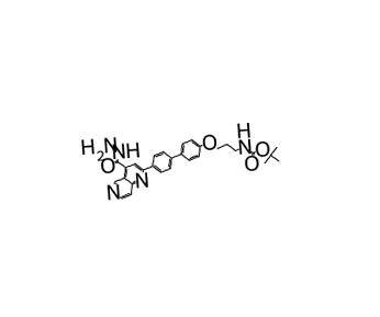 CC(C)(C)OC(=O)NCCCOc1ccc(-c2ccc(-c3cc(C(=O)NN)c4cnccc4n3)cc2)cc1